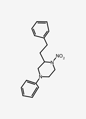 O=[N+]([O-])N1CCN(c2ccccc2)CC1CCc1ccccc1